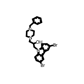 OC(CN1CCN(Cc2ccccc2)CC1)Cn1c2ccc(Br)cc2c2cc(Br)ccc21